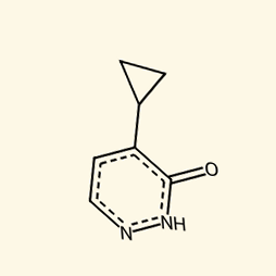 O=c1[nH]nccc1C1CC1